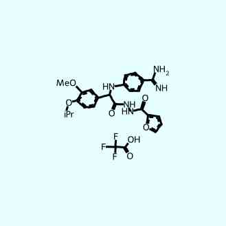 COc1cc(C(Nc2ccc(C(=N)N)cc2)C(=O)NNC(=O)c2ccco2)ccc1OC(C)C.O=C(O)C(F)(F)F